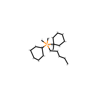 CCCCCP(C)(C)(C1CCCCC1)C1(C)CCCCC1